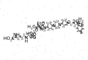 CC[C@@H]([C@H](C)OCOP(=O)(O)OCNCCCC[C@H](N)C(=O)O)n1ncn(-c2ccc(N3CCN(c4ccc(OC[C@@H]5CO[C@@](C)(c6ccc(F)cc6F)C5)cc4)CC3)cc2)c1=O